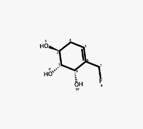 O[C@@H]1[C@@H](O)CC=C(CF)[C@@H]1O